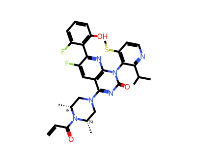 C=CC(=O)N1[C@H](C)CN(c2nc(=O)n(-c3c(SC)ccnc3C(C)C)c3nc(-c4c(O)cccc4F)c(F)cc23)C[C@@H]1C